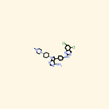 CN1CCN([C@H]2CC[C@@H](n3cc(-c4ccc(Nc5ncc6c(Cl)cc(Cl)cc6n5)cc4)c4c(N)ncnc43)CC2)CC1